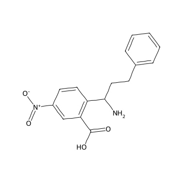 NC(CCc1ccccc1)c1ccc([N+](=O)[O-])cc1C(=O)O